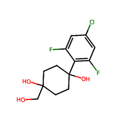 OCC1(O)CCC(O)(c2c(F)cc(Cl)cc2F)CC1